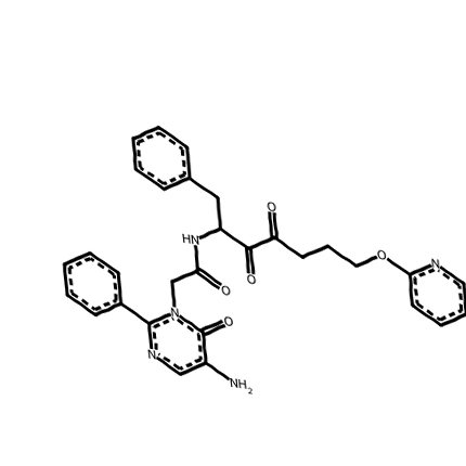 Nc1cnc(-c2ccccc2)n(CC(=O)NC(Cc2ccccc2)C(=O)C(=O)CCCOc2ccccn2)c1=O